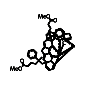 COC(=O)CCCC(C)(CC12C=CC3=C4c5c6c7c8c9c%10c%11c(c(c59)C41)C(=C2)CC%11=CC12C=CC(=C8C%101C2(CCCC(=O)OC)c1ccccc1)CC=C7CC6=CC3)c1ccccc1